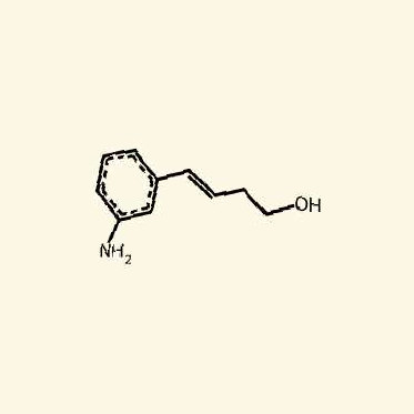 Nc1cccc(C=CCCO)c1